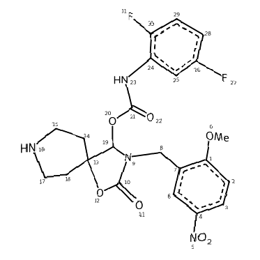 COc1ccc([N+](=O)[O-])cc1CN1C(=O)OC2(CCNCC2)C1OC(=O)Nc1cc(F)ccc1F